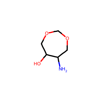 NC1COCOCC1O